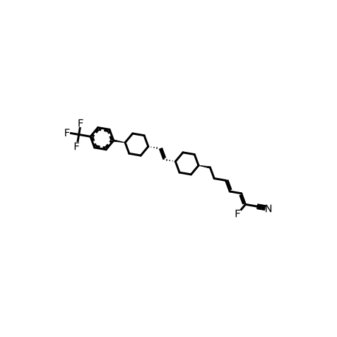 N#CC(F)=CC=CCC[C@H]1CC[C@H](C=C[C@H]2CC[C@H](c3ccc(C(F)(F)F)cc3)CC2)CC1